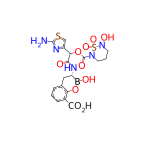 Nc1nc(C(OC(=O)N2CCCN(O)S2(=O)=O)C(=O)N[C@H]2Cc3cccc(C(=O)O)c3OB2O)cs1